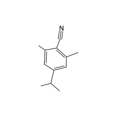 Cc1cc(C(C)C)cc(C)c1C#N